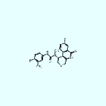 Cc1cc(NC(=O)N(C)[C@@H]2COCc3[nH]c(=O)c4cc(F)ccc4c32)ccc1F